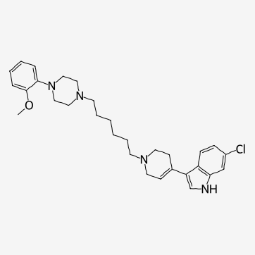 COc1ccccc1N1CCN(CCCCCCN2CC=C(c3c[nH]c4cc(Cl)ccc34)CC2)CC1